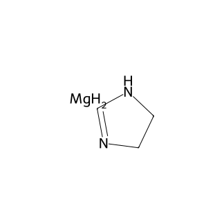 C1=NCCN1.[MgH2]